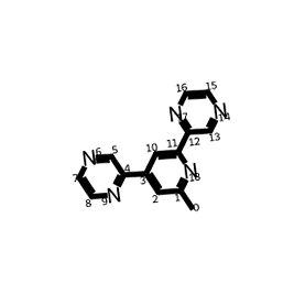 Cc1cc(-c2cnccn2)cc(-c2cnccn2)n1